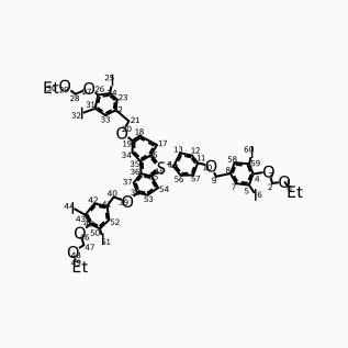 CCOCOc1c(I)cc(COc2ccc(-[s+]3c4ccc(OCc5cc(I)c(OCOCC)c(I)c5)cc4c4cc(OCc5cc(I)c(OCOCC)c(I)c5)ccc43)cc2)cc1I